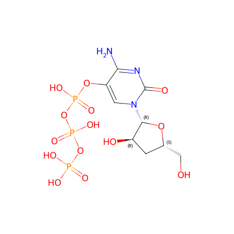 Nc1nc(=O)n([C@@H]2O[C@H](CO)C[C@H]2O)cc1OP(=O)(O)OP(=O)(O)OP(=O)(O)O